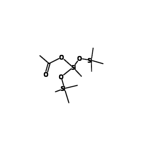 CC(=O)O[Si](C)(O[Si](C)(C)C)O[Si](C)(C)C